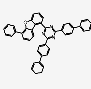 C1=CC(c2ccc(-c3nc(-c4ccc(-c5ccccc5)cc4)nc(-c4cccc5oc6c(-c7ccccc7)cccc6c45)n3)cc2)=CCC1